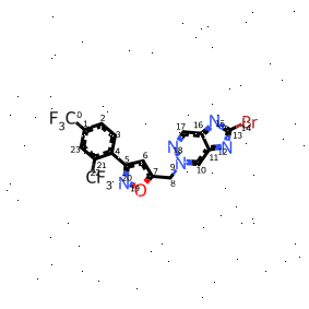 FC(F)(F)c1ccc(-c2cc(Cn3cc4nc(Br)nc-4cn3)on2)c(C(F)(F)F)c1